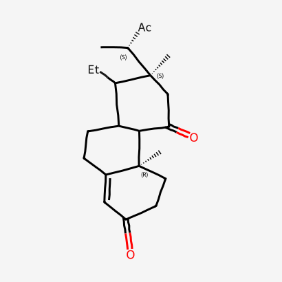 CCC1C2CCC3=CC(=O)CC[C@]3(C)C2C(=O)C[C@]1(C)[C@H](C)C(C)=O